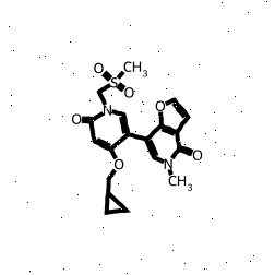 Cn1cc(-c2cn(CS(C)(=O)=O)c(=O)cc2OCC2CC2)c2occc2c1=O